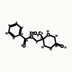 CCOC(=O)C1(COC(=O)c2ccccc2)CCC(=O)CO1